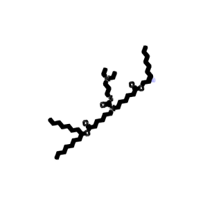 CCCCCC/C=C\COC(=O)CCCCCN(CCCCCC(=O)OC(CCCCCCC)CCCCCCC)C(=O)SCCCN(CC)CC